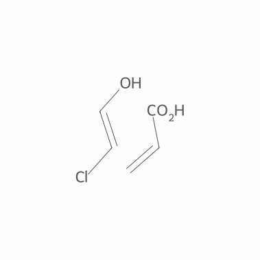 C=CC(=O)O.OC=CCl